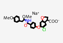 COc1ccc(CC(NC(=O)c2ccc(Oc3cc4c(cc3Cl)C(C(=O)[O-])CCO4)cc2)OC)cc1.[Na+]